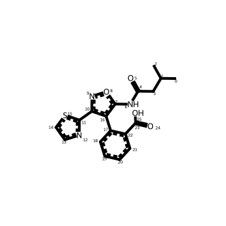 CC(C)CC(=O)Nc1onc(-c2nccs2)c1-c1ccccc1C(=O)O